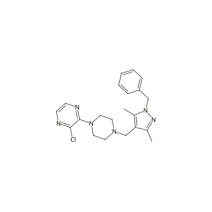 Cc1nn(Cc2ccccc2)c(C)c1CN1CCN(c2nccnc2Cl)CC1